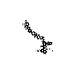 CCc1cccc2cc(O)cc(-c3ncc4c(N5CC6CCC(C5)N6)nc(OCC5(CN6CCC(C(F)(F)C7CCN(c8ccc9c(c8)CN([C@H]8CCC(=O)NC8=O)C9=O)CC7)CC6)CC5)nc4c3F)c12